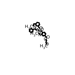 COCCOC(=O)c1ccc2c(=O)n(N3C=C(c4ccccc4)n4c(C)cc5c4C(=CCC5)C3=O)c(C)nc2c1